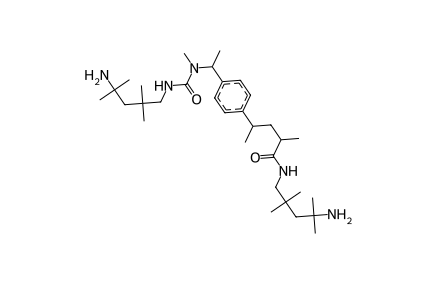 CC(CC(C)c1ccc(C(C)N(C)C(=O)NCC(C)(C)CC(C)(C)N)cc1)C(=O)NCC(C)(C)CC(C)(C)N